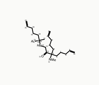 C=CCCCC(CCCC=C)(NC)C(=O)CN[C@@](C)(CCCC=C)C(C)=O